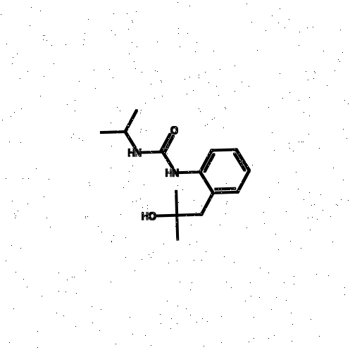 CC(C)NC(=O)Nc1ccccc1CC(C)(C)O